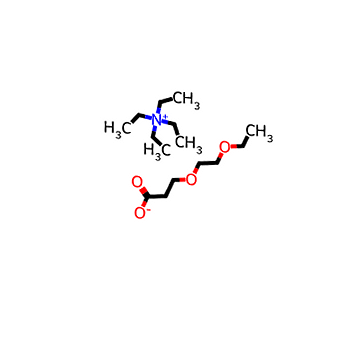 CCOCCOCCC(=O)[O-].CC[N+](CC)(CC)CC